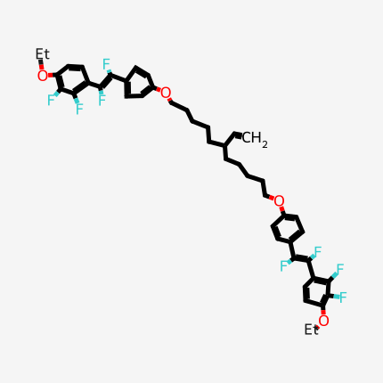 C=CC(CCCCCOc1ccc(/C(F)=C(\F)c2ccc(OCC)c(F)c2F)cc1)CCCCCOc1ccc(/C(F)=C(\F)c2ccc(OCC)c(F)c2F)cc1